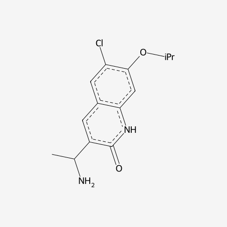 CC(C)Oc1cc2[nH]c(=O)c(C(C)N)cc2cc1Cl